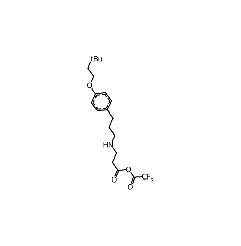 CC(C)(C)CCOc1ccc(CCCNCCC(=O)OC(=O)C(F)(F)F)cc1